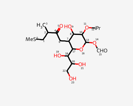 CSCC(C)C(=O)CC1C(O)C(OC(C)C)C(OC=O)OC1C(O)C(O)CO